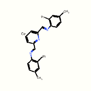 Cc1ccc(N=Cc2cccc(C=Nc3ccc(C)cc3C(C)C)n2)c(C(C)C)c1.[Co]